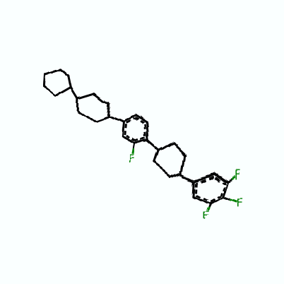 Fc1cc(C2CCC(C3CCCCC3)CC2)ccc1C1CCC(c2cc(F)c(F)c(F)c2)CC1